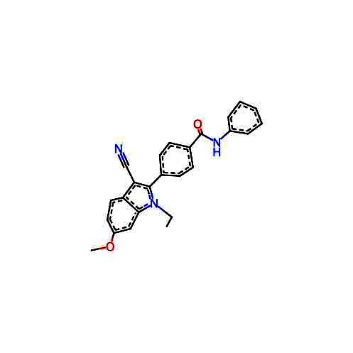 CCn1c(-c2ccc(C(=O)Nc3ccccc3)cc2)c(C#N)c2ccc(OC)cc21